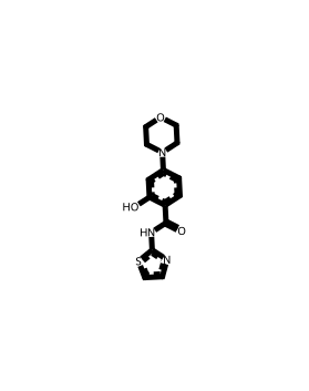 O=C(Nc1nccs1)c1ccc(N2CCOCC2)cc1O